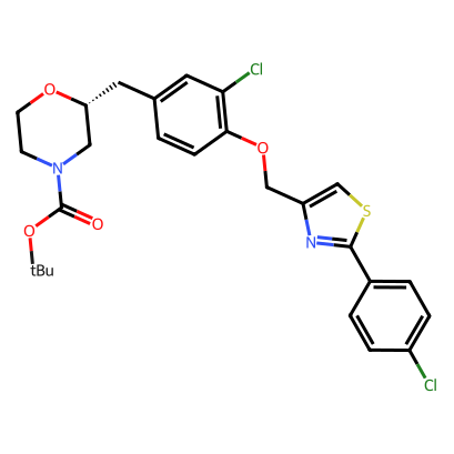 CC(C)(C)OC(=O)N1CCO[C@H](Cc2ccc(OCc3csc(-c4ccc(Cl)cc4)n3)c(Cl)c2)C1